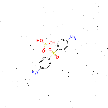 Nc1ccc(S(=O)(=O)c2ccc(N)cc2)cc1.O=S(O)O